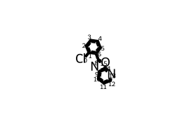 Clc1ccccc1-c1nc2cccnc2o1